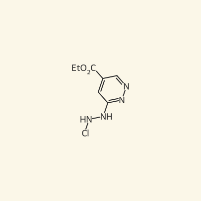 CCOC(=O)c1cnnc(NNCl)c1